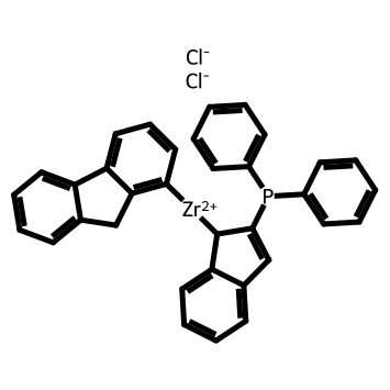 C1=C(P(c2ccccc2)c2ccccc2)[CH]([Zr+2][c]2cccc3c2Cc2ccccc2-3)c2ccccc21.[Cl-].[Cl-]